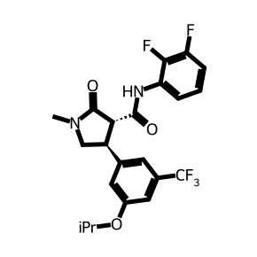 CC(C)Oc1cc([C@H]2CN(C)C(=O)[C@@H]2C(=O)Nc2cccc(F)c2F)cc(C(F)(F)F)c1